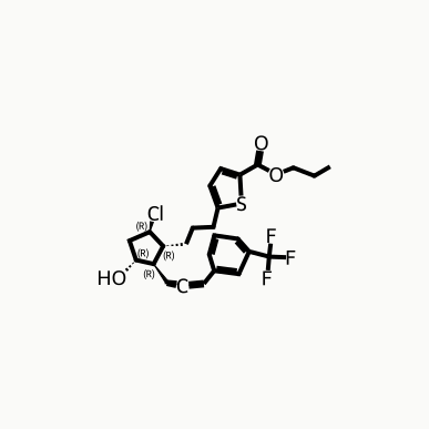 CCCOC(=O)c1ccc(CCC[C@@H]2[C@@H](C=C=Cc3cccc(C(F)(F)F)c3)[C@H](O)C[C@H]2Cl)s1